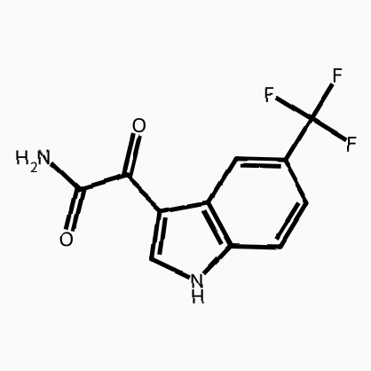 NC(=O)C(=O)c1c[nH]c2ccc(C(F)(F)F)cc12